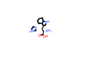 N[C@@H](Cc1c[nH]c2ccccc12)C(=O)O.c1c[nH]cn1